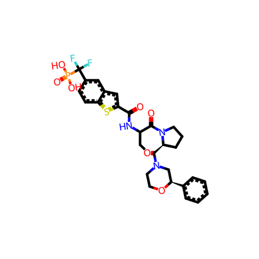 CCC(NC(=O)c1cc2cc(C(F)(F)P(=O)(O)O)ccc2s1)C(=O)N1CCC[C@H]1C(=O)N1CCO[C@H](c2ccccc2)C1